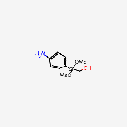 CO[Si](CO)(OC)c1ccc(N)cc1